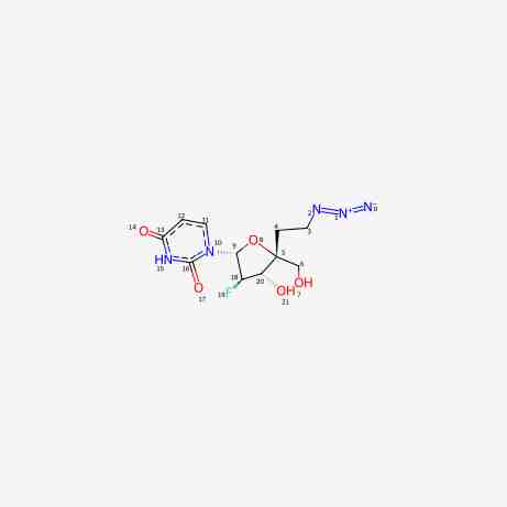 [N-]=[N+]=NCC[C@]1(CO)O[C@@H](n2ccc(=O)[nH]c2=O)[C@H](F)[C@H]1O